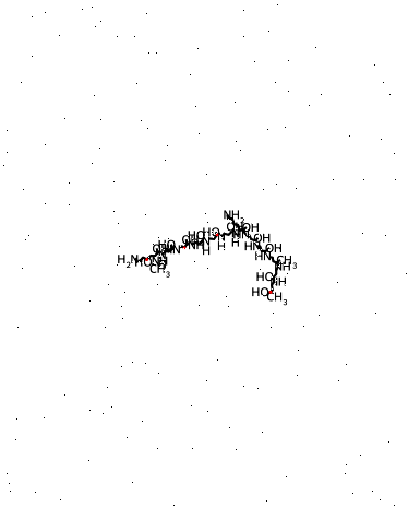 CC(O)CCNC(O)CCNC(C)CCNC(O)CCNC(O)CCNC(O)C(CCCCN)NC(O)CCNC(O)CCNC(O)CCNC(O)CCNC(O)CCNC(O)C(CCCCN)NC(C)O